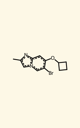 Cc1cn2cc(Br)c(OC3CCC3)cc2n1